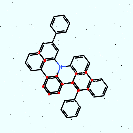 c1ccc(-c2cccc(N(c3c(-c4ccccc4)cccc3-c3ccccc3)c3cccc4c3c(-c3ccccc3)c(-c3ccccc3)c3ccccc34)c2)cc1